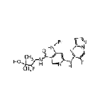 CC(C)Nc1cc(Nc2nc3ccnn3cc2F)ncc1C(=O)NC[C@@H](F)C(C)(C)O